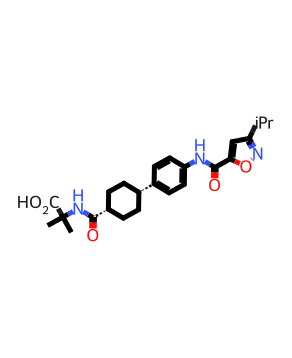 CC(C)c1cc(C(=O)Nc2ccc([C@H]3CC[C@@H](C(=O)NC(C)(C)C(=O)O)CC3)cc2)on1